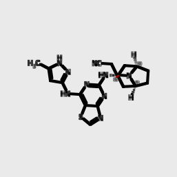 Cc1cc(Nc2nc(N[C@@H]3C[C@H]4CC[C@@H](C3)N4CCC#N)nc3ncsc23)n[nH]1